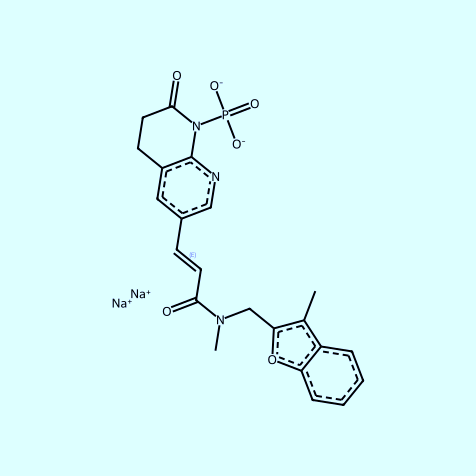 Cc1c(CN(C)C(=O)/C=C/c2cnc3c(c2)CCC(=O)N3P(=O)([O-])[O-])oc2ccccc12.[Na+].[Na+]